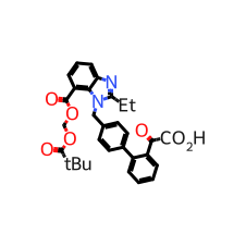 CCc1nc2cccc(C(=O)OCOC(=O)C(C)(C)C)c2n1Cc1ccc(-c2ccccc2C(=O)C(=O)O)cc1